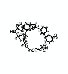 COc1ccc2c(c1)-c1cccc(c1)-c1cc3nc(C)c([C@H](OC(C)(C)C)C(=O)O)c(n3n1)N1CCC(C)(CC1)OCCCC[C@H](C)O2